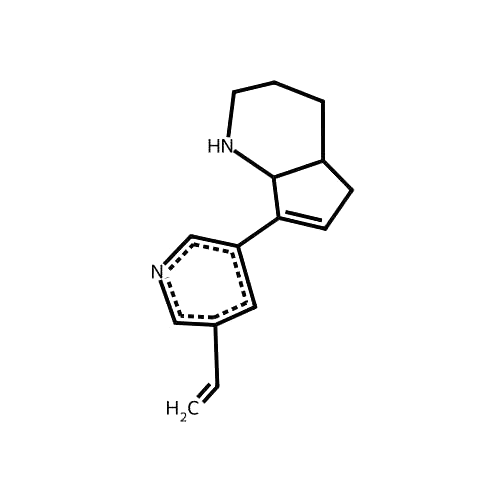 C=Cc1cncc(C2=CCC3CCCNC23)c1